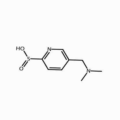 CN(C)Cc1ccc(S(=O)O)nc1